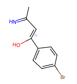 CC(=N)/C=C(\O)c1ccc(Br)cc1